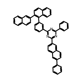 c1ccc(-c2ccc3cc(-c4nc(-c5ccccc5)nc(-c5cccc(-c6c(-c7ccc8ccccc8c7)ccc7ccccc67)c5)n4)ccc3c2)cc1